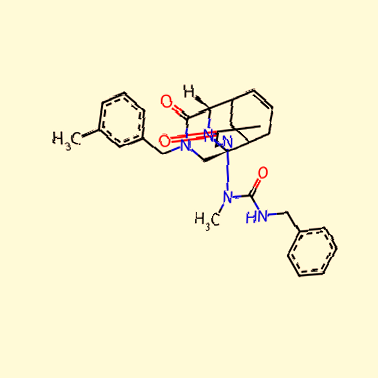 Cc1cccc(CN2C[C@@]34C5CC=CC(C5)[C@@H](C2=O)N3C(=O)CN4N(C)C(=O)NCc2ccccc2)c1